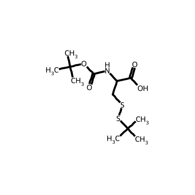 CC(C)(C)OC(=O)NC(CSSC(C)(C)C)C(=O)O